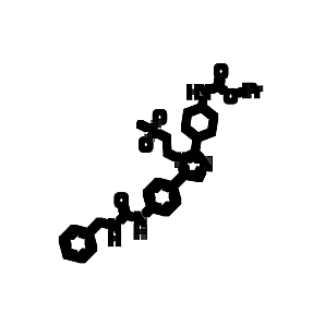 CC(C)OC(=O)NC1CCC(c2ncc(-c3ccc(NC(=O)NCc4ccccc4)cc3)n2CCS(C)(=O)=O)CC1